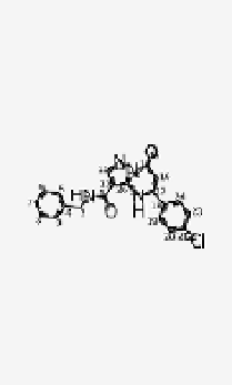 O=C(NCc1ccccc1)c1cnn2c(=O)cc(-c3ccc(Cl)cc3)[nH]c12